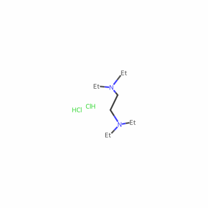 CCN(CC)CCN(CC)CC.Cl.Cl